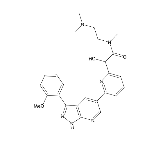 COc1ccccc1-c1n[nH]c2ncc(-c3cccc(C(O)C(=O)N(C)CCN(C)C)n3)cc12